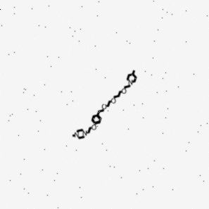 CC1CCN(CCOCCCOCCOCCc2ccc(OCCN3CCN(C)CC3)cc2)CC1